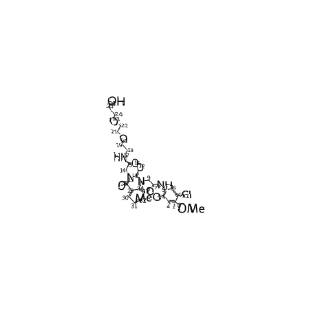 COc1cc(OC)c(NC(=O)Cn2c(=O)n(CC(=O)NCCOCCOCCO)c(=O)c3ccccc32)cc1Cl